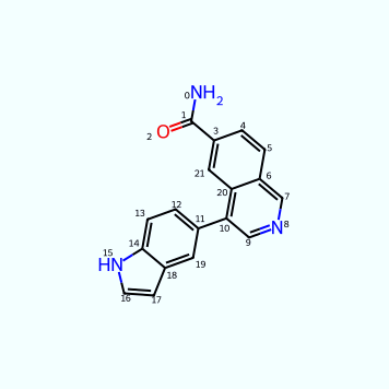 NC(=O)c1ccc2cncc(-c3ccc4[nH]ccc4c3)c2c1